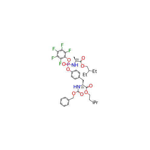 CCC(CC)COC(=O)[C@H](C)NP(=O)(Oc1ccc(C[C@H](NC(=O)OCc2ccccc2)C(=O)OCCC(C)C)cc1)Oc1c(F)c(F)c(F)c(F)c1F